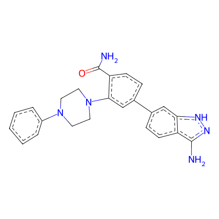 NC(=O)c1ccc(-c2ccc3c(N)n[nH]c3c2)cc1N1CCN(c2ccccc2)CC1